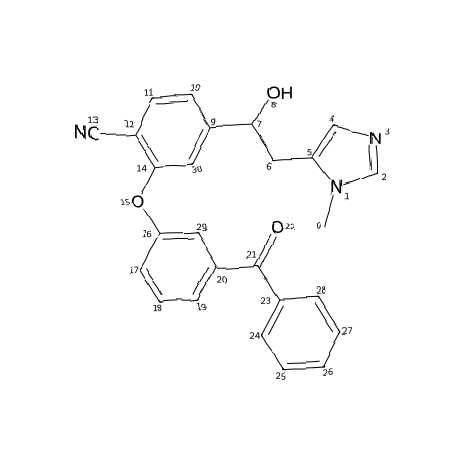 Cn1cncc1CC(O)c1ccc(C#N)c(Oc2cccc(C(=O)c3ccccc3)c2)c1